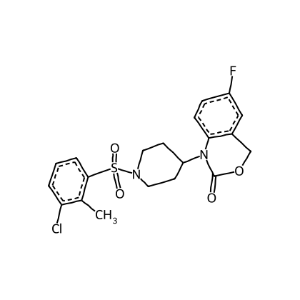 Cc1c(Cl)cccc1S(=O)(=O)N1CCC(N2C(=O)OCc3cc(F)ccc32)CC1